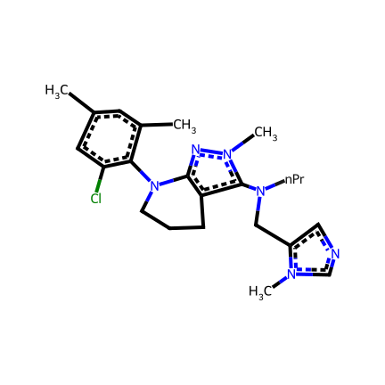 CCCN(Cc1cncn1C)c1c2c(nn1C)N(c1c(C)cc(C)cc1Cl)CCC2